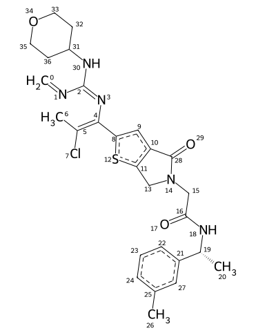 C=N/C(=N\C(=C(/C)Cl)c1cc2c(s1)CN(CC(=O)N[C@H](C)c1cccc(C)c1)C2=O)NC1CCOCC1